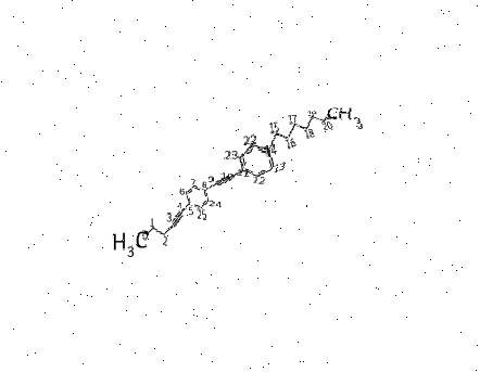 CCCC#Cc1ccc(C#Cc2ccc(CCCCCCC)cc2)cc1